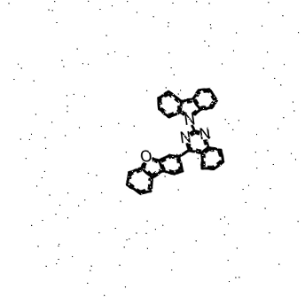 c1ccc2c(-c3ccc4c(c3)oc3ccccc34)nc(-n3c4ccccc4c4ccccc43)nc2c1